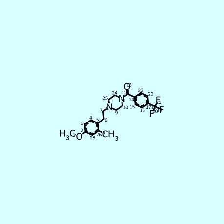 COc1ccc(CCN2CCN(C(=O)c3ccc(C(F)(F)F)cc3)CC2)c(C)c1